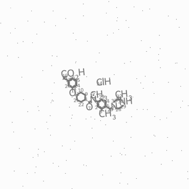 Cc1cc(N(C)C(=O)[C@H]2CC[C@H](Oc3cccc(CC(=O)O)c3)CC2)ccc1CN1CCN[C@@H](C)C1.Cl